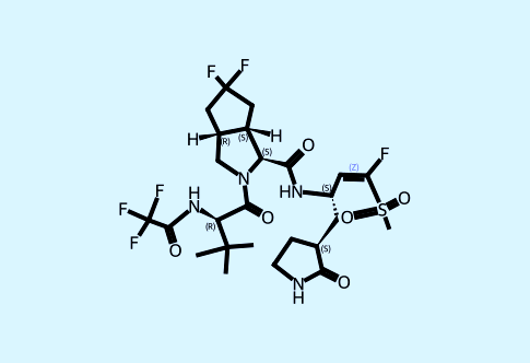 CC(C)(C)[C@@H](NC(=O)C(F)(F)F)C(=O)N1C[C@@H]2CC(F)(F)C[C@@H]2[C@H]1C(=O)N[C@H](/C=C(/F)S(C)(=O)=O)C[C@@H]1CCNC1=O